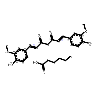 CCCCCC(=O)O.COc1cc(/C=C/C(=O)CC(=O)/C=C/c2ccc(O)c(OC)c2)ccc1O